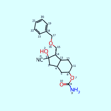 N#CC1(O)CC2CC(OC(N)=O)CCC2C1COCc1ccccc1